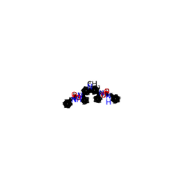 Cn1c2ccc(/C(=N/OC(=O)NCc3ccccc3)C3CCCC3)cc2c2cc(/C(=N/OC(=O)NCc3ccccc3)C3CCCC3)ccc21